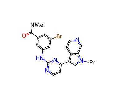 CNC(=O)c1cc(Br)cc(Nc2nccc(-c3cn(C(C)C)c4cnccc34)n2)c1